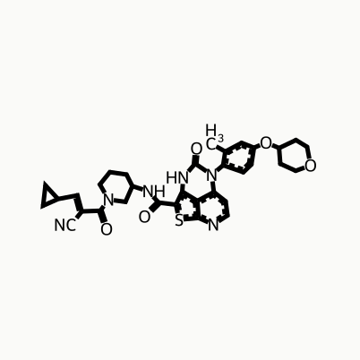 Cc1cc(OC2CCOCC2)ccc1N1C(=O)Nc2c(C(=O)NC3CCCN(C(=O)C(C#N)=CC4CC4)C3)sc3nccc1c23